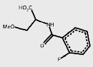 COCC(NC(=O)c1ccccc1F)C(=O)O